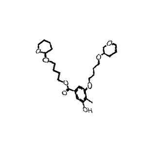 Cc1c(O)cc(C(=O)OCCCCOC2CCCCO2)cc1OCCCCOC1CCCOC1